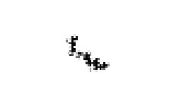 COC(=O)CCC(=O)SCCNC(=O)CCNC(=O)C(O)C(C)(C)CO